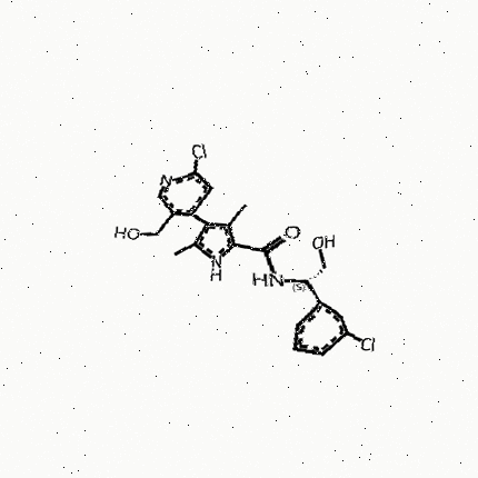 Cc1[nH]c(C(=O)N[C@H](CO)c2cccc(Cl)c2)c(C)c1-c1cc(Cl)ncc1CO